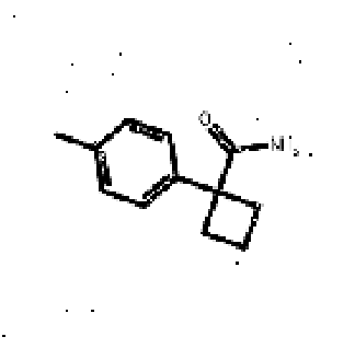 Cc1ccc(C2(C(N)=O)CCC2)cc1